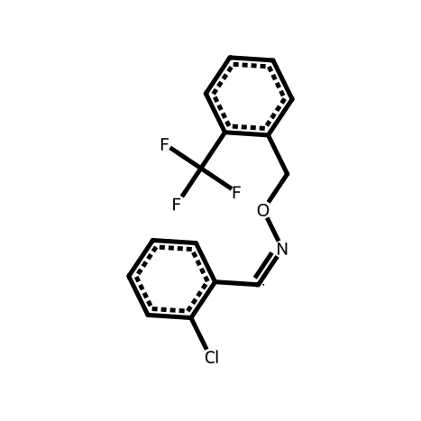 FC(F)(F)c1ccccc1CO/N=[C]\c1ccccc1Cl